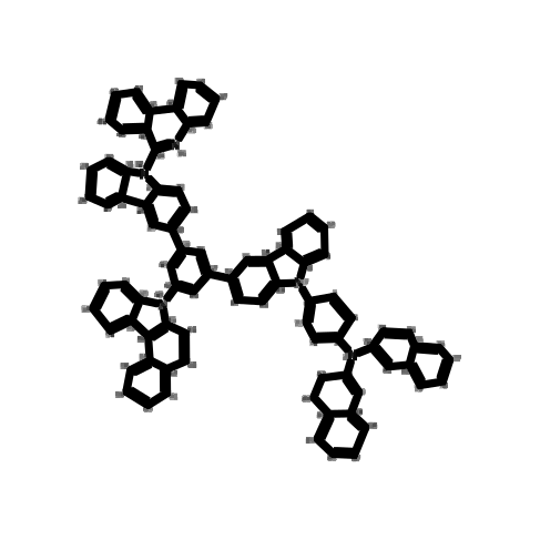 C1=C(N(c2ccc(-n3c4ccccc4c4cc(-c5cc(-c6ccc7c(c6)c6ccccc6n7-c6nc7ccccc7c7ccccc67)cc(-n6c7ccccc7c7c8ccccc8ccc76)c5)ccc43)cc2)c2ccc3ccccc3c2)CCc2ccccc21